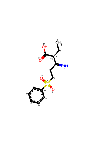 CC[C@@H](C(=N)CCS(=O)(=O)c1ccccc1)C(=O)O